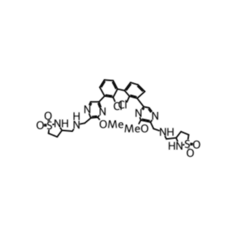 COc1nc(-c2cccc(-c3cccc(-c4cnc(CNCC5CCS(=O)(=O)N5)c(OC)n4)c3Cl)c2Cl)cnc1CNCC1CCS(=O)(=O)N1